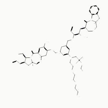 C=C/C=C1/C[C@H]2C=N[C@@H]3CC(OC[C@@H]4C=C(N(CCOCCOCCOC)CC(C)(C)SCC(=O)O)C=C(CO/C(C=C)=C(/C=C5\CNC[C@@H]6Cc7ccccc7N6C5=O)OC)C4)=C(OC)C=C3C(=O)N2/C1=C/C